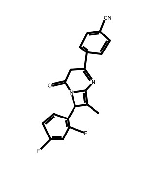 CC1=C2N=C(c3ccc(C#N)cc3)CC(=O)N2C1c1ccc(F)cc1F